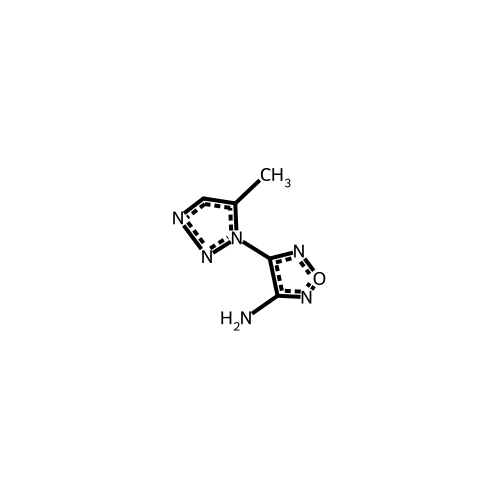 Cc1cnnn1-c1nonc1N